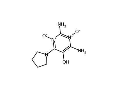 Nc1c(O)c(N2CCCC2)[n+]([O-])c(N)[n+]1[O-]